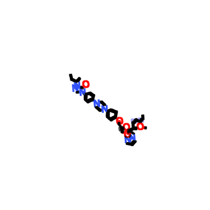 C=C(/C=C\C(=C/C)OC)[C@]1(Cn2cccn2)OC[C@@H](COc2ccc(N3CCN(c4ccc(-n5cnn(C(C)CC)c5=O)cc4)CC3)cc2)O1